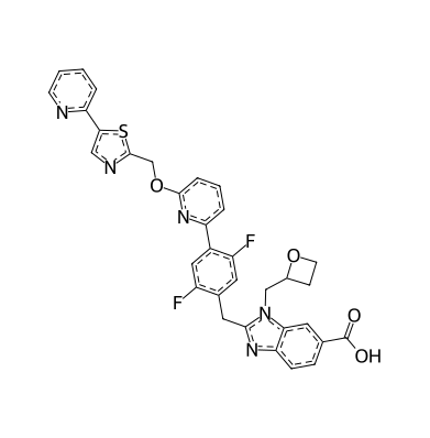 O=C(O)c1ccc2nc(Cc3cc(F)c(-c4cccc(OCc5ncc(-c6ccccn6)s5)n4)cc3F)n(CC3CCO3)c2c1